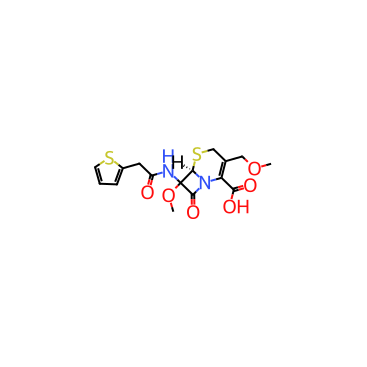 COCC1=C(C(=O)O)N2C(=O)C(NC(=O)Cc3cccs3)(OC)[C@H]2SC1